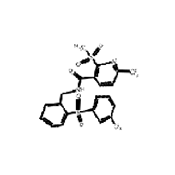 CS(=O)(=O)c1nc(C(F)(F)F)ccc1C(=O)NCc1ccccc1S(=O)(=O)c1cccc(C(F)(F)F)c1